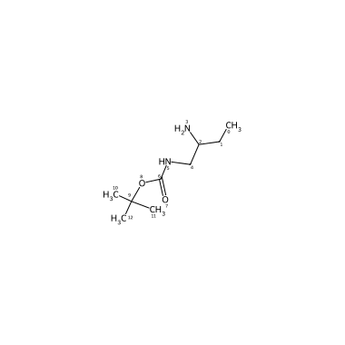 CCC(N)CNC(=O)OC(C)(C)C